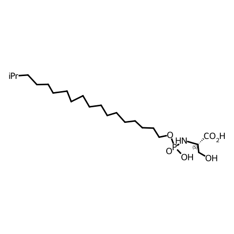 CC(C)CCCCCCCCCCCCCCCCOP(=O)(O)N[C@@H](CO)C(=O)O